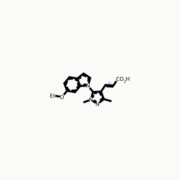 CCOc1ccc2ccn(-c3c(/C=C/C(=O)O)c(C)nn3C)c2c1